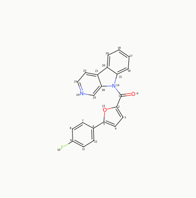 O=C(c1ccc(-c2ccc(F)cc2)o1)n1c2ccccc2c2ccncc21